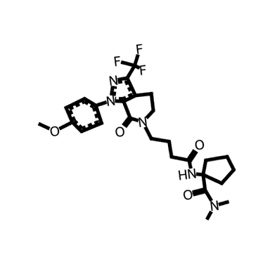 COc1ccc(-n2nc(C(F)(F)F)c3c2C(=O)N(CCCC(=O)NC2(C(=O)N(C)C)CCCC2)CC3)cc1